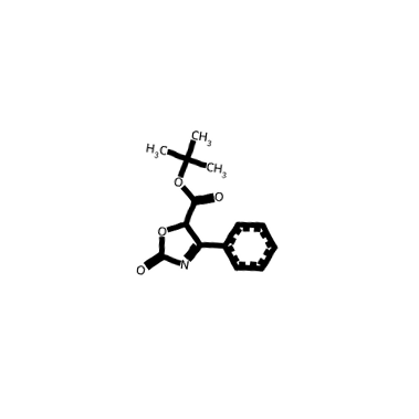 CC(C)(C)OC(=O)C1OC(=O)N=C1c1ccccc1